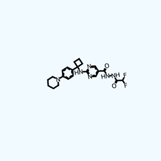 O=C(NNC(=O)C(F)F)c1cnc(NC2(c3ccc(N4CCCCC4)cc3)CCC2)nc1